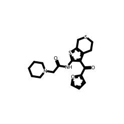 O=C(CN1CCCCC1)Nc1sc2c(c1C(=O)c1ccco1)CCSC2